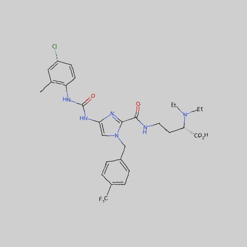 CCN(CC)[C@@H](CCNC(=O)c1nc(NC(=O)Nc2ccc(Cl)cc2C)cn1Cc1ccc(C(F)(F)F)cc1)C(=O)O